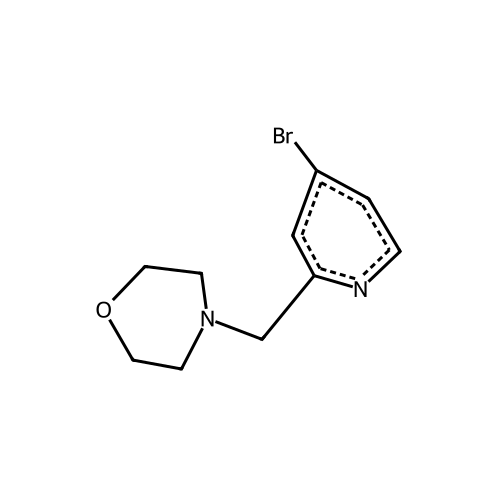 Brc1ccnc(CN2CCOCC2)c1